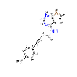 CC(CC#Cc1ccc(C(F)(F)F)cc1)Nc1ncnc2sccc12